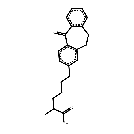 CC(CCCCc1ccc2c(c1)CCc1ccccc1C2=O)C(=O)O